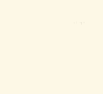 [CH2]CCCCCCCCCCCCCOC1C[CH]CC1